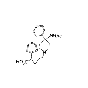 CC(=O)NC1(c2ccccc2)CCN(CC2CC2(C(=O)O)c2ccccc2)CC1